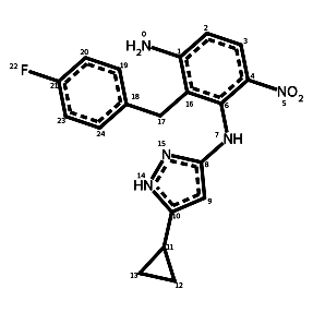 Nc1ccc([N+](=O)[O-])c(Nc2cc(C3CC3)[nH]n2)c1Cc1ccc(F)cc1